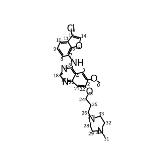 COc1cc2c(Nc3cccc4c(Cl)coc34)ncnc2cc1OCCCN1CCN(C)CC1